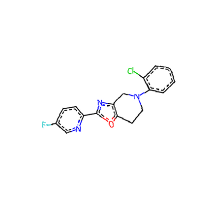 Fc1ccc(-c2nc3c(o2)CCN(c2ccccc2Cl)C3)nc1